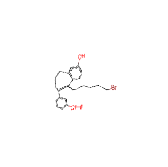 Oc1cccc(C2=C(CCCCCBr)c3ccc(O)cc3CCC2)c1